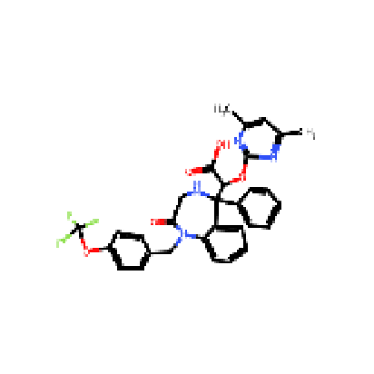 Cc1cc(C)nc(OC(C(=O)O)C2(c3ccccc3)NCC(=O)N(Cc3ccc(OC(F)(F)F)cc3)c3ccccc32)n1